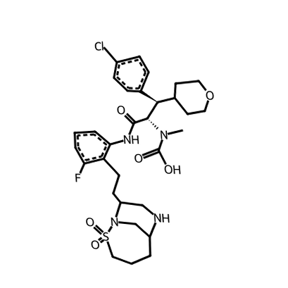 CN(C(=O)O)[C@H](C(=O)Nc1cccc(F)c1CCC1CNC2CCCS(=O)(=O)N1C2)[C@@H](c1ccc(Cl)cc1)C1CCOCC1